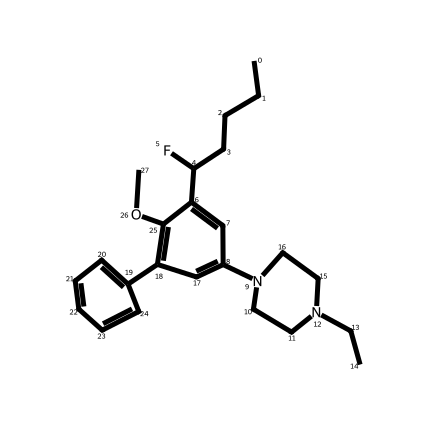 CCCCC(F)c1cc(N2CCN(CC)CC2)cc(-c2ccccc2)c1OC